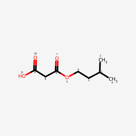 CC(C)CCOC(=O)CC(=O)O